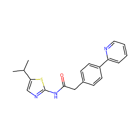 CC(C)c1cnc(NC(=O)Cc2ccc(-c3ccccn3)cc2)s1